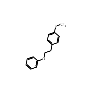 FC(F)(F)Sc1ccc(CCOc2[c]cccc2)cc1